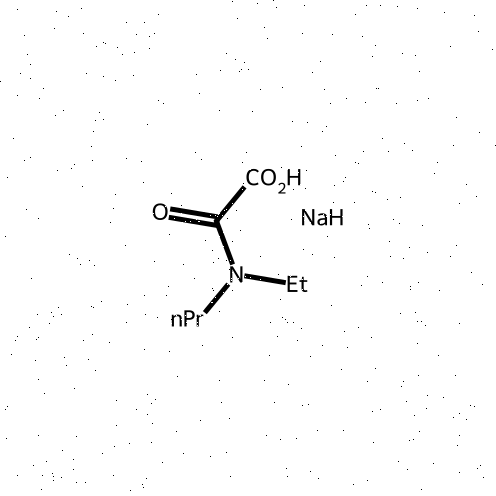 CCCN(CC)C(=O)C(=O)O.[NaH]